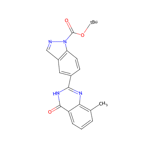 Cc1cccc2c(=O)[nH]c(-c3ccc4c(cnn4C(=O)OC(C)(C)C)c3)nc12